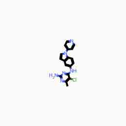 Cc1nc(N)nc(Nc2ccc3c(ccn3-c3ccncc3)c2)c1Cl